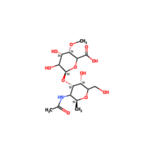 CO[C@@H]1C(C(=O)O)O[C@@H](O[C@H]2C(NC(C)=O)[C@H](C)OC(CO)[C@H]2O)C(O)[C@@H]1O